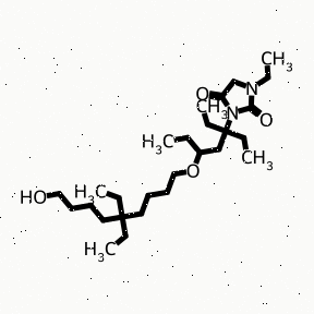 CCC(CC(CC)(CC)N1C(=O)CN(CC)C1=O)OCCCCC(CC)(CC)CCCCO